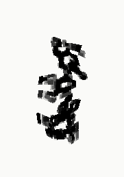 Nc1nc(=O)n([C@@H]2O[C@H](COP3(=O)OP(=O)(O)OP(=O)(O)O3)C(O)[C@@H]2O)cc1CO